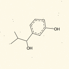 [CH2]C(C)C(O)c1cccc(O)c1